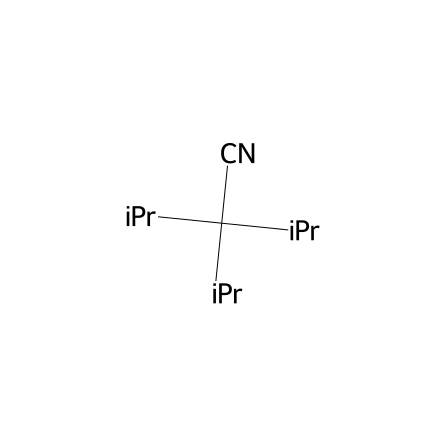 CC(C)C(C#N)(C(C)C)C(C)C